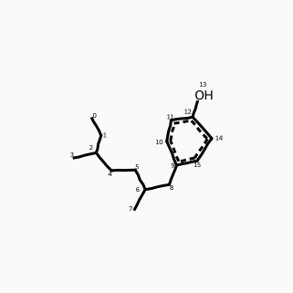 CCC(C)CCC(C)Cc1ccc(O)cc1